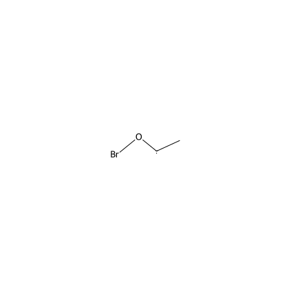 C[CH]OBr